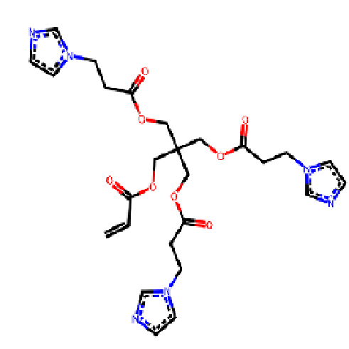 C=CC(=O)OCC(COC(=O)CCn1ccnc1)(COC(=O)CCn1ccnc1)COC(=O)CCn1ccnc1